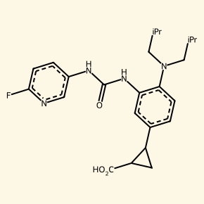 CC(C)CN(CC(C)C)c1ccc(C2CC2C(=O)O)cc1NC(=O)Nc1ccc(F)nc1